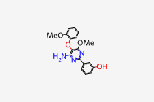 COc1ccccc1Oc1c(N)nc(-c2cccc(O)c2)nc1OC